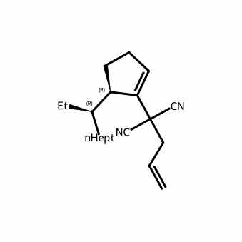 C=CCC(C#N)(C#N)C1=CCC[C@@H]1[C@H](CC)CCCCCCC